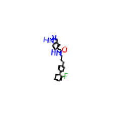 O=C(NCCCc1ccc(-c2ccccc2F)cc1)c1ccc2[nH]ncc2c1